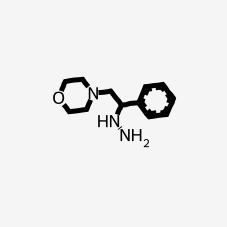 NNC(CN1CCOCC1)c1ccccc1